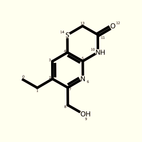 CCc1cc2c(nc1CO)NC(=O)CS2